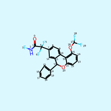 O=C(NF)C(F)(F)c1ccc2c(c1)C(c1ccccc1)Oc1cccc(OC(F)F)c1-2